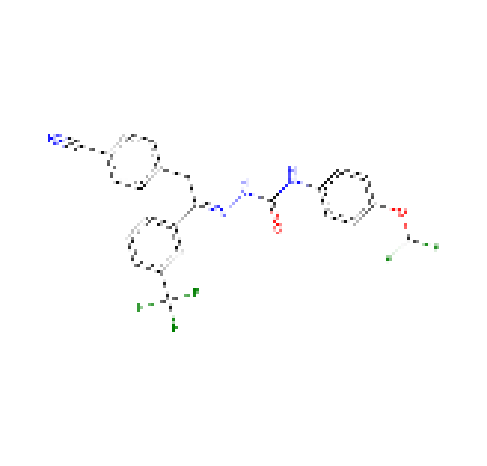 N#Cc1ccc(C/C(=N\NC(=O)Nc2ccc(OC(F)F)cc2)c2cccc(C(F)(F)F)c2)cc1